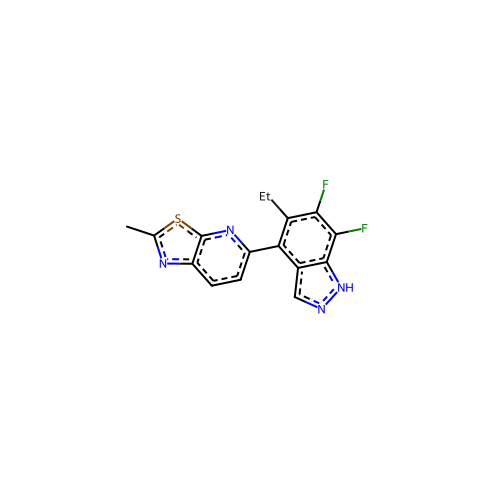 CCc1c(F)c(F)c2[nH]ncc2c1-c1ccc2nc(C)sc2n1